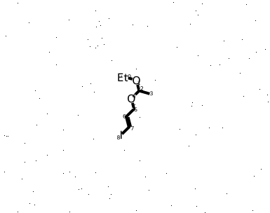 CCOC(C)OCC=CI